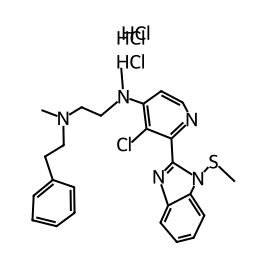 CSn1c(-c2nccc(N(C)CCN(C)CCc3ccccc3)c2Cl)nc2ccccc21.Cl.Cl.Cl